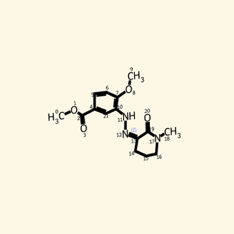 COC(=O)c1ccc(OC)c(N/N=C2/CCCN(C)C2=O)c1